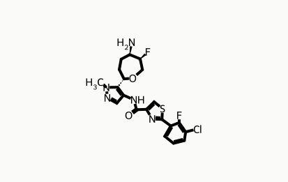 Cn1ncc(NC(=O)c2csc(-c3cccc(Cl)c3F)n2)c1[C@@H]1CC[C@@H](N)[C@@H](F)CO1